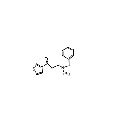 CC(C)(C)N(CCC(=O)c1ccsc1)Cc1ccccc1